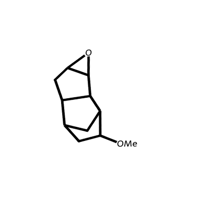 COC1CC2CC1C1C2CC2OC21